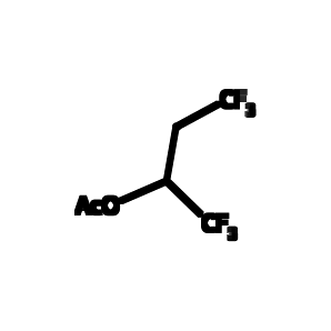 CC(=O)OC(CC(F)(F)F)C(F)(F)F